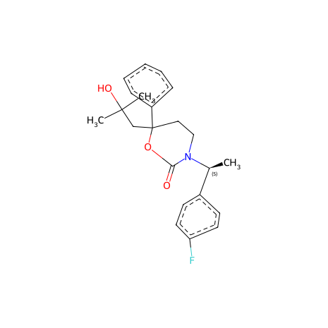 C[C@@H](c1ccc(F)cc1)N1CCC(CC(C)(C)O)(c2ccccc2)OC1=O